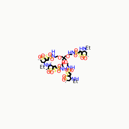 CCN[C@H]1C[C@H](C)S(=O)(=O)c2sc(S(=O)(=O)NCCOCC(COCCNS(=O)(=O)c3cc4c(s3)S(=O)(=O)[C@@H](C)C[C@@H]4NCC)(COCCNS(=O)(=O)c3cc4c(s3)S(=O)(=O)[C@@H](C)C[C@@H]4NCC)COCCNS(=O)(=O)c3cc4c(s3)S(=O)(=O)[C@@H](C)C[C@@H]4C)cc21